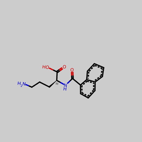 NCCC[C@H](NC(=O)c1cccc2ccccc12)C(=O)O